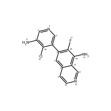 Nc1cncc(-c2cc3ccncc3c(N)c2F)c1Cl